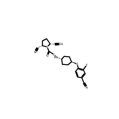 C#C[C@H]1CC[C@@H](C#N)N1C(=O)CN[C@H]1CC[C@H](Oc2ccc(C#N)cc2F)CC1